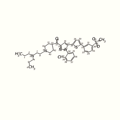 CCCN(CCC)CCN1CCC(C(=O)c2cc(-c3ccc(-c4cccc(S(C)(=O)=O)c4)s3)n(-c3ccccc3Cl)n2)CC1